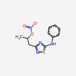 CC(Cc1nsc(Nc2ccccc2)n1)O[N+](=O)[O-]